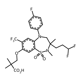 CN1C(C)(CCC(F)F)CN(c2ccc(F)cc2)c2cc(C(F)(F)F)c(OCC(C)(C)C(=O)O)cc2S1(=O)=O